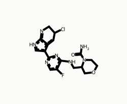 NC(=O)N1CCOCC1CNc1nc(-c2c[nH]c3c2=CC(Cl)CN=3)ncc1F